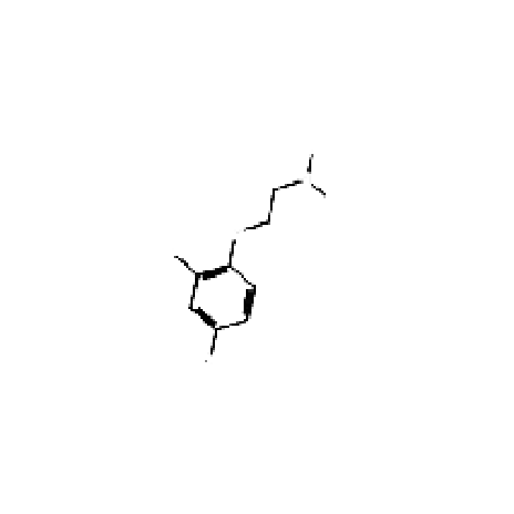 CN(C)CCNc1ccc(N)cc1Cl